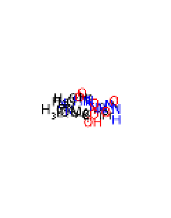 CCn1c(-c2cccnc2[C@H](C)OC)c2c3cc(ccc31)-c1cc(O)cc(c1)C[C@H](NC(=O)C(C(C)C)N1CCC3(CN(C(=O)[C@H]4CN4)C3)C1=O)C(=O)N1CCC[C@H](N1)C(=O)OCC(C)(C)C2